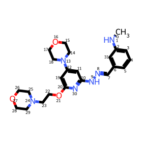 CNc1cccc(/C=N/Nc2cc(N3CCOCC3)cc(OCCN3CCOCC3)n2)c1